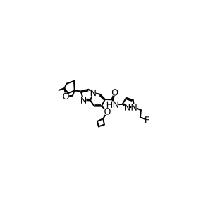 CC12CCC(c3cn4cc(C(=O)Nc5ccn(CCF)n5)c(OC5CCC5)cc4n3)(CO1)C2